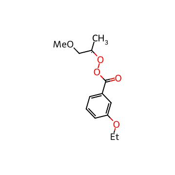 CCOc1cccc(C(=O)OO[C](C)COC)c1